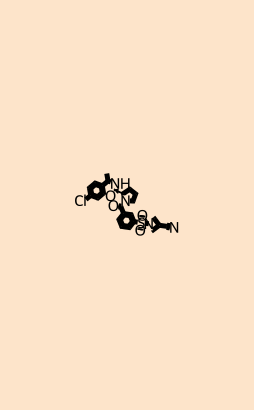 CC(NC(=O)[C@H]1CCCN1C(=O)c1cccc(S(=O)(=O)N2CC(C#N)C2)c1)c1ccc(Cl)cc1